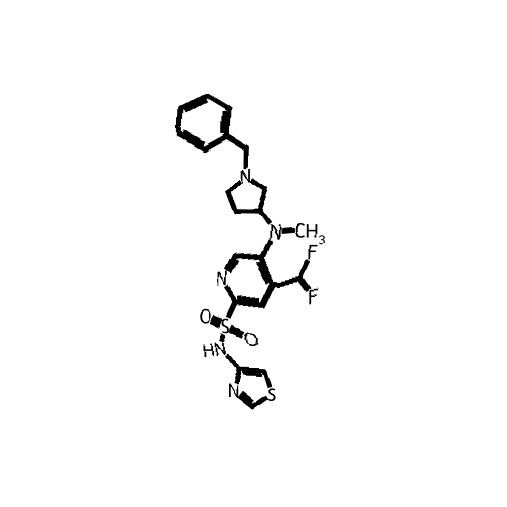 CN(c1cnc(S(=O)(=O)Nc2cscn2)cc1C(F)F)C1CCN(Cc2ccccc2)C1